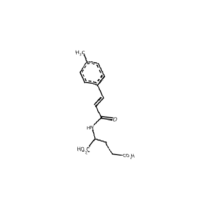 Cc1ccc(C=CC(=O)NC(CCC(=O)O)C(=O)O)cc1